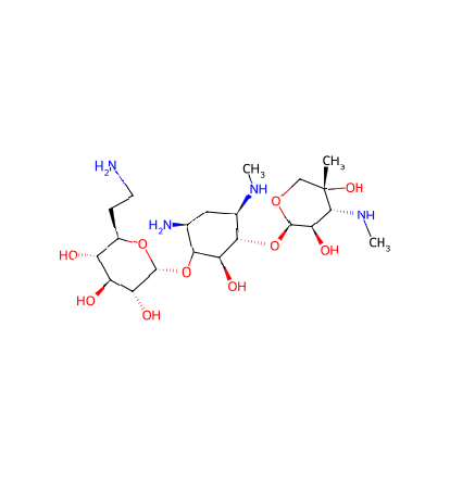 CN[C@@H]1[C@@H](O)[C@@H](O[C@H]2[C@H](NC)C[C@H](N)C(O[C@H]3O[C@H](CCN)[C@@H](O)[C@H](O)[C@H]3O)[C@@H]2O)OC[C@]1(C)O